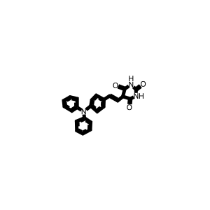 O=C1NC(=O)C(C=Cc2ccc(N(c3ccccc3)c3ccccc3)cc2)C(=O)N1